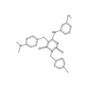 Cc1ccc(Cn2c(=O)nc(Nc3cccc(C(F)(F)F)c3)n(Cc3ccc(N(C)C)cc3)c2=O)cc1